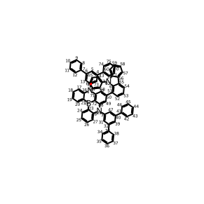 c1ccc(-c2cc(-c3ccccc3)cc(N3c4ccccc4B4c5ccccc5N(c5cc(-c6ccccc6)cc(-c6ccccc6)c5)c5cc(-c6cccc7c8ccccc8n(-c8ccccc8)c67)cc3c54)c2)cc1